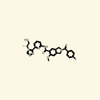 COc1cc2c(cc1C(=O)Nc1cccc(-c3nncn3[C@H](C)CO)n1)CN(C(=O)c1ccc(F)cc1)C2